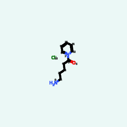 NCCCCC(=O)[n+]1ccccc1.[Cl-]